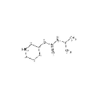 CC(C)NC(=O)OC1CCCNC1